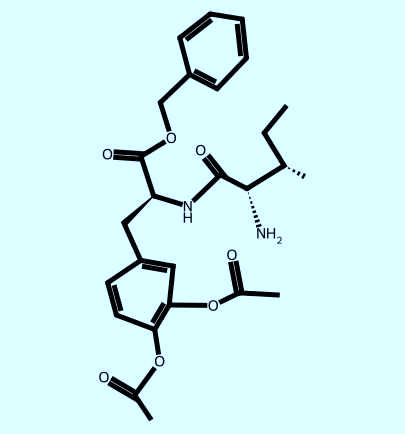 CC[C@H](C)[C@H](N)C(=O)N[C@@H](Cc1ccc(OC(C)=O)c(OC(C)=O)c1)C(=O)OCc1ccccc1